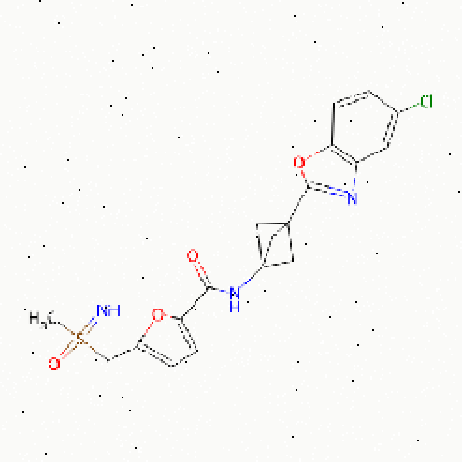 CS(=N)(=O)Cc1ccc(C(=O)NC23CC(c4nc5cc(Cl)ccc5o4)(C2)C3)o1